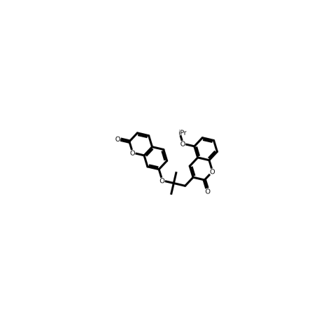 CC(C)Oc1cccc2oc(=O)c(CC(C)(C)Oc3ccc4ccc(=O)oc4c3)cc12